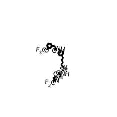 O=C(Cc1cccc(OC(F)(F)F)c1)Nc1ccc(CCCCc2nnc(NC(=O)Cn3nc(C(F)(F)F)cc3C(F)(F)F)s2)cn1